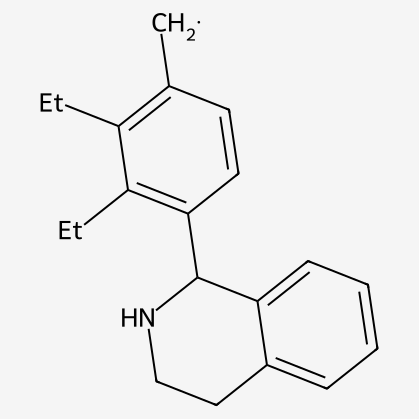 [CH2]c1ccc(C2NCCc3ccccc32)c(CC)c1CC